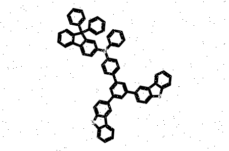 c1ccc(N(c2ccc(-c3cc(-c4ccc5sc6ccccc6c5c4)cc(-c4ccc5sc6ccccc6c5c4)c3)cc2)c2ccc3c(c2)C(c2ccccc2)(c2ccccc2)c2ccccc2-3)cc1